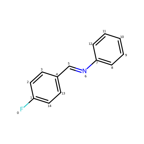 Fc1ccc(/C=N/c2ccccc2)cc1